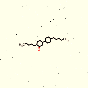 CCCCCC1CCC(C2CCC(CCCCC)C(=O)C2)CC1